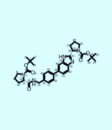 CC(C)(C)OC(=O)N1CCC[C@H]1C(=O)NCc1ccc(-c2ccc3nc([C@@H]4CCCN4C(=O)OC(C)(C)C)[nH]c3c2)cc1